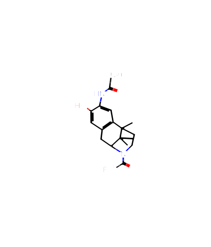 CC(C)(C)C(=O)Nc1cc2c(cc1O)CC1N(C(=O)C(F)(F)F)CCC2(C)C1(C)C